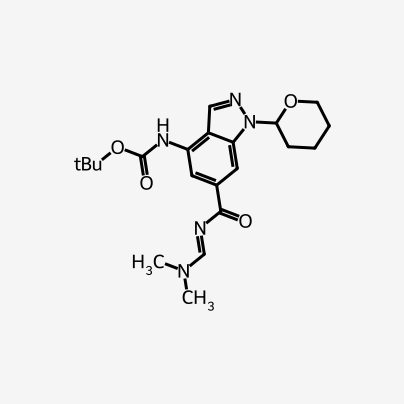 CN(C)/C=N/C(=O)c1cc(NC(=O)OC(C)(C)C)c2cnn(C3CCCCO3)c2c1